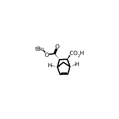 CC(C)(C)OC(=O)[C@@H]1[C@@H](C(=O)O)[C@H]2C=C[C@@H]1C2